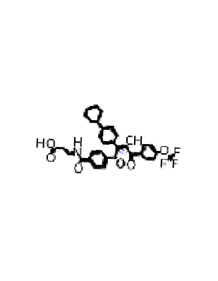 C/C(C(=O)c1ccc(OC(F)(F)F)cc1)=C(/C(=O)c1ccc(C(=O)NCCC(=O)O)cc1)c1ccc(C2CCCCC2)cc1